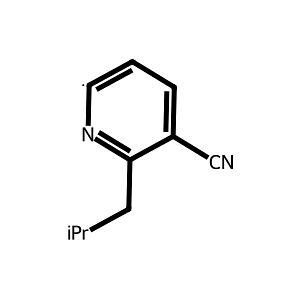 CC(C)Cc1n[c]ccc1C#N